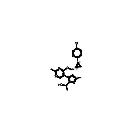 CCc1ccc([C@H]2C[C@@H]2COc2nc(C)ncc2-c2cn(C)nc2C(C)O)nc1